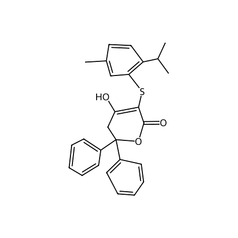 Cc1ccc(C(C)C)c(SC2=C(O)CC(c3ccccc3)(c3ccccc3)OC2=O)c1